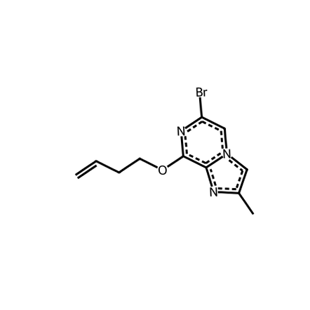 C=CCCOc1nc(Br)cn2cc(C)nc12